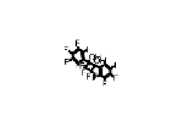 OC(c1c(F)c(F)c(F)c(F)c1F)(C(F)(F)F)C(O)(c1c(F)c(F)c(F)c(F)c1F)C(F)(F)F